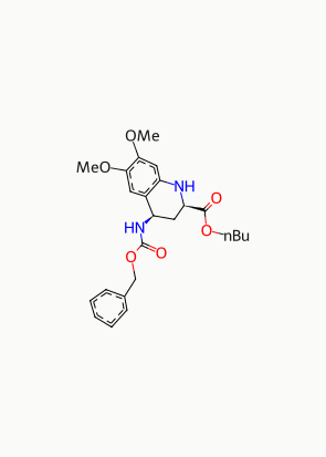 CCCCOC(=O)[C@H]1C[C@@H](NC(=O)OCc2ccccc2)c2cc(OC)c(OC)cc2N1